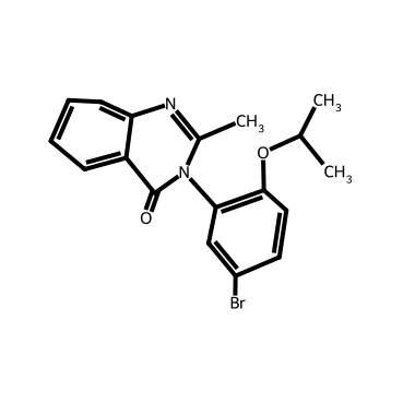 Cc1nc2ccccc2c(=O)n1-c1cc(Br)ccc1OC(C)C